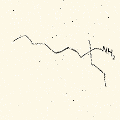 CCCCCCCC(C)(N)CCC